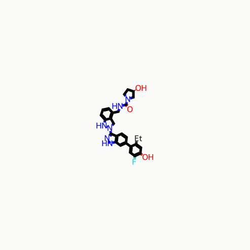 CCc1cc(O)c(F)cc1-c1ccc2c(N3Cc4c(CNC(=O)N5CC[C@H](O)C5)cccc4N3)n[nH]c2c1